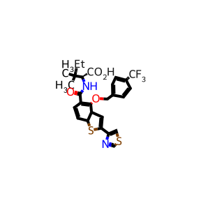 CCC(C)(C)[C@H](NC(=O)C1=C(OCc2ccc(C(F)(F)F)cc2)C2C=C(c3cscn3)SC2C=C1)C(=O)O